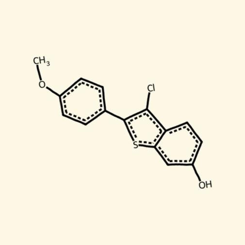 COc1ccc(-c2sc3cc(O)ccc3c2Cl)cc1